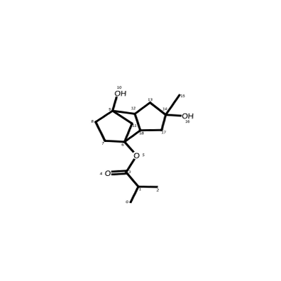 CC(C)C(=O)OC12CCC(O)(C1)C1CC(C)(O)CC12